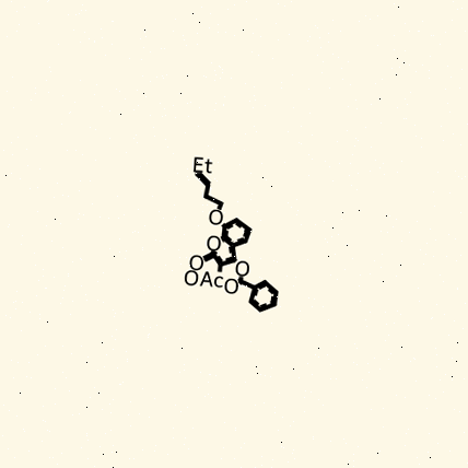 CCC=CCCOc1cccc2c(OC(=O)c3ccccc3)c(OC(C)=O)c(=O)oc12